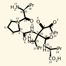 CCCC(=O)C(=O)[C@](NC(=O)[C@@H]1CCCN1C(=O)[C@@H](N)C(C)C)(C(=O)N[C@H](C(=O)O)C(C)C)C(N)C(C)C